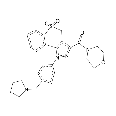 O=C(c1nn(-c2ccc(CN3CCCC3)cc2)c2c1CS(=O)(=O)c1ccccc1-2)N1CCOCC1